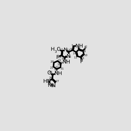 Cc1nc(-c2c[nH]c3c(F)cc(F)cc23)nc(N[C@H]2CCC[C@@H](NC(=O)c3cnn[nH]3)C2)c1F